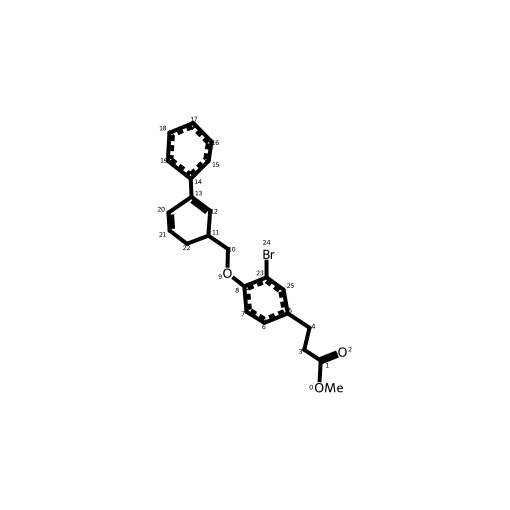 COC(=O)CCc1ccc(OCC2C=C(c3ccccc3)C=CC2)c(Br)c1